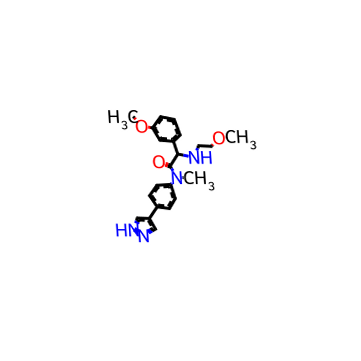 COCCNC(C(=O)N(C)c1ccc(-c2cn[nH]c2)cc1)c1cccc(OC)c1